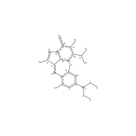 CCN(CC)c1cc(C)c(N=C2C(C)=Nn3c2nc(C(C)C)c(C)c3=O)c(C)c1